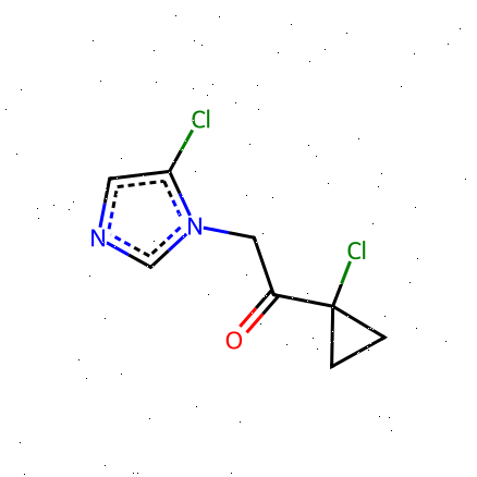 O=C(Cn1cncc1Cl)C1(Cl)CC1